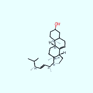 CC(C)[C@@H](C)C=C[C@@H](C)[C@H]1CC[C@H]2C3=CCC4CC(O)CC[C@]4(C)[C@H]3CC[C@]12C